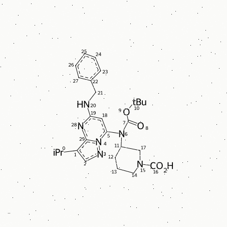 CC(C)c1cnn2c(N(C(=O)OC(C)(C)C)C3CCCN(C(=O)O)C3)cc(NCc3ccccc3)nc12